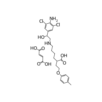 Cc1ccc(OCCC(CCCCNCC(O)c2cc(Cl)c(N)c(Cl)c2)C(=O)O)cc1.O=C(O)C=CC(=O)O